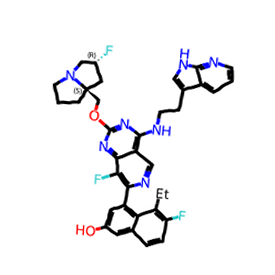 CCc1c(F)ccc2cc(O)cc(-c3ncc4c(NCCc5c[nH]c6ncccc56)nc(OC[C@@]56CCCN5C[C@H](F)C6)nc4c3F)c12